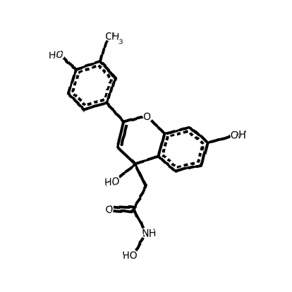 Cc1cc(C2=CC(O)(CC(=O)NO)c3ccc(O)cc3O2)ccc1O